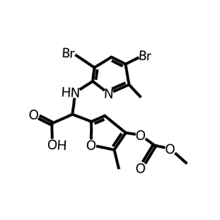 COC(=O)Oc1cc(C(Nc2nc(C)c(Br)cc2Br)C(=O)O)oc1C